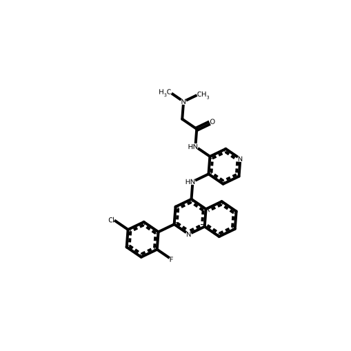 CN(C)CC(=O)Nc1cnccc1Nc1cc(-c2cc(Cl)ccc2F)nc2ccccc12